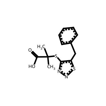 CC(C)(Sc1nnsc1Cc1ccccc1)C(=O)O